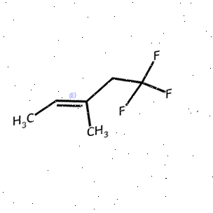 C/C=C(\C)CC(F)(F)F